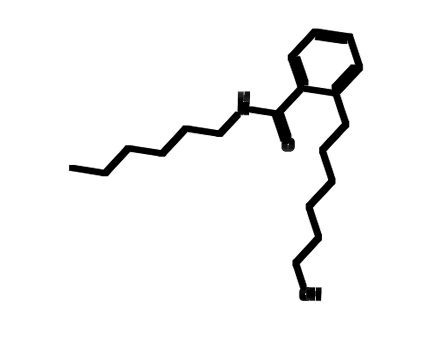 CCCCCCNC(=O)c1ccccc1CCCCCCO